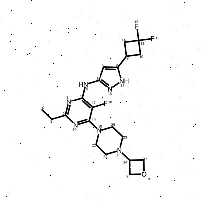 CCc1nc(Nc2cc(C3CC(F)(F)C3)[nH]n2)c(F)c(N2CCN(C3COC3)CC2)n1